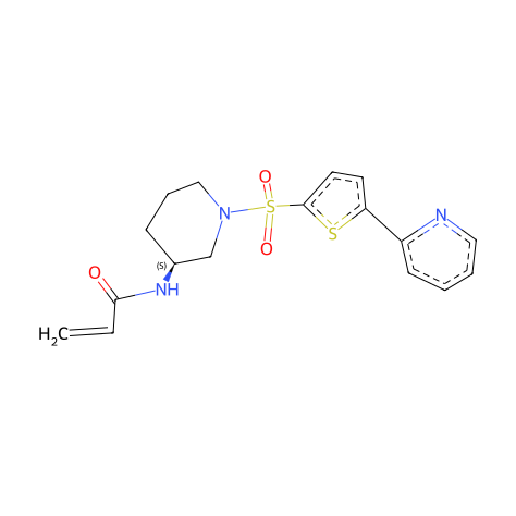 C=CC(=O)N[C@H]1CCCN(S(=O)(=O)c2ccc(-c3ccccn3)s2)C1